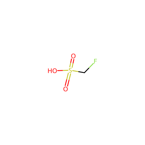 O=S(=O)(O)CF